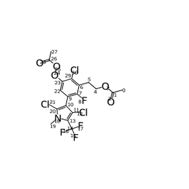 CC(=O)OCCc1c(F)c(-c2c(Cl)c(C(F)(F)F)n(C)c2Cl)cc(OOC(C)=O)c1Cl